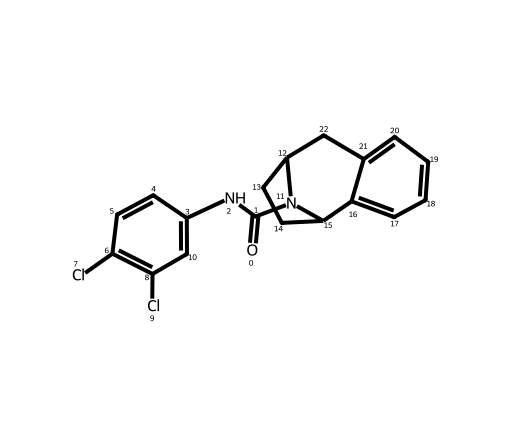 O=C(Nc1ccc(Cl)c(Cl)c1)N1C2CCC1c1ccccc1C2